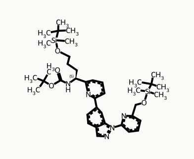 CC(C)(C)OC(=O)N[C@@H](CCCO[Si](C)(C)C(C)(C)C)c1cccc(-c2ccc3cnn(-c4cccc(CO[Si](C)(C)C(C)(C)C)n4)c3c2)n1